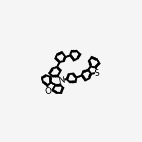 c1ccc(-c2cccc(-c3cccc(N(c4ccc(-c5ccc6sc7ccccc7c6c5)cc4)c4cccc5oc6ccccc6c45)c3)c2)cc1